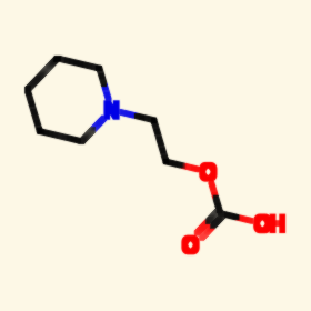 O=C(O)OCCN1CCCCC1